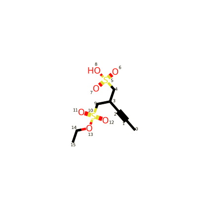 CC#CC(CS(=O)(=O)O)CS(=O)(=O)OCC